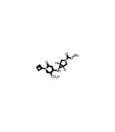 CC(C)(C)OC(=O)N1C[C@@H]2[C@H](C1)[C@H]2Nc1cc(=O)n(C23CC(C2)C3)cc1C(=O)O